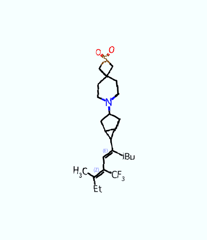 CC/C(C)=C(/C=C(\C(C)CC)C1C2CC(N3CCC4(CC3)CS(=O)(=O)C4)CC21)C(F)(F)F